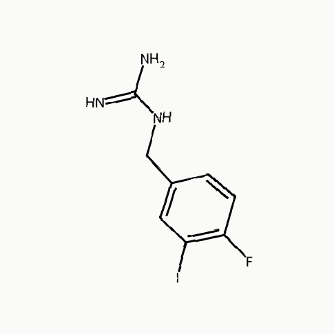 N=C(N)NCc1ccc(F)c(I)c1